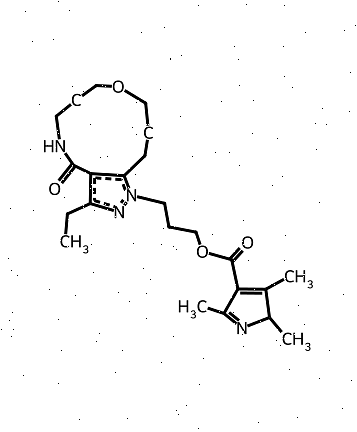 CCc1nn(CCCOC(=O)C2=C(C)C(C)N=C2C)c2c1C(=O)NCCCOCCC2